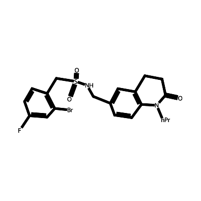 CCCN1C(=O)CCc2cc(CNS(=O)(=O)Cc3ccc(F)cc3Br)ccc21